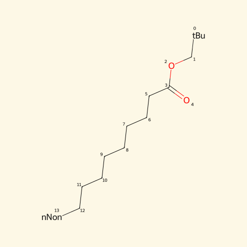 [CH2]C(C)(C)COC(=O)CCCCCCCCCCCCCCCCC